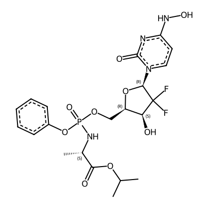 CC(C)OC(=O)[C@H](C)NP(=O)(OC[C@H]1O[C@@H](n2ccc(NO)nc2=O)C(F)(F)[C@H]1O)Oc1ccccc1